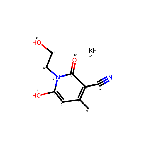 Cc1cc(O)n(CCO)c(=O)c1C#N.[KH]